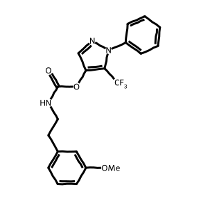 COc1cccc(CCNC(=O)Oc2cnn(-c3ccccc3)c2C(F)(F)F)c1